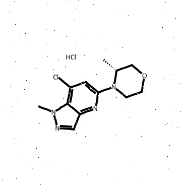 C[C@@H]1COCCN1c1cc(Cl)c2c(cnn2C)n1.Cl